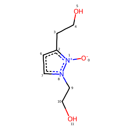 [O-][n+]1c(CCO)ccn1CCO